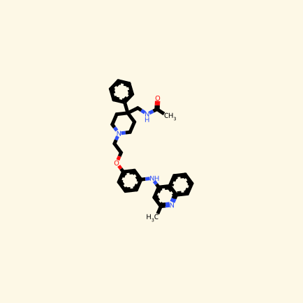 CC(=O)NCC1(c2ccccc2)CCN(CCOc2cccc(Nc3cc(C)nc4ccccc34)c2)CC1